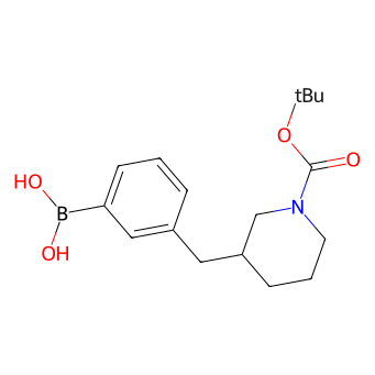 CC(C)(C)OC(=O)N1CCCC(Cc2cccc(B(O)O)c2)C1